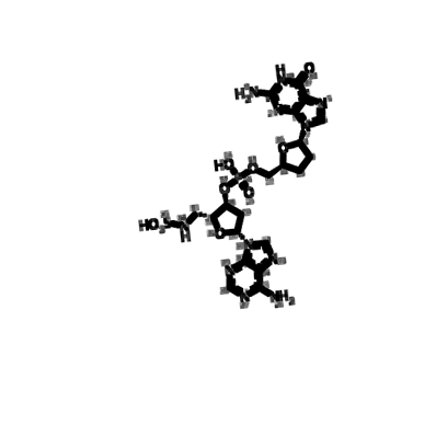 Nc1nc2c(ncn2[C@H]2CC[C@@H](COP(=O)(O)O[C@H]3C[C@H](n4cnc5c(N)ncnc54)O[C@@H]3CNS(=O)(=O)O)O2)c(=O)[nH]1